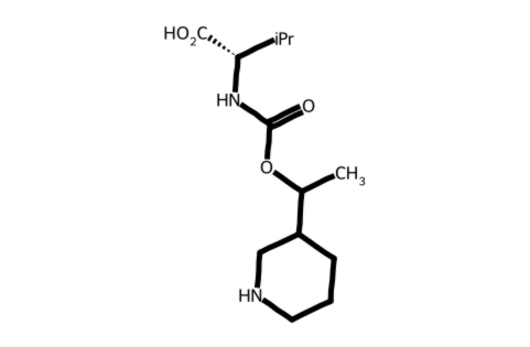 CC(OC(=O)N[C@H](C(=O)O)C(C)C)C1CCCNC1